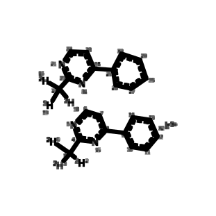 [2H]C([2H])([2H])c1nccc(-c2ccccc2)n1.[2H]C([2H])([2H])c1nccc(-c2ccccc2)n1.[Ir+3]